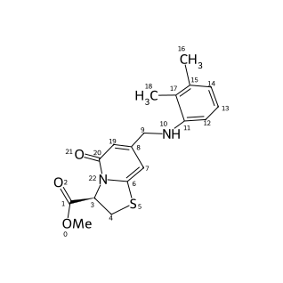 COC(=O)[C@@H]1CSc2cc(CNc3cccc(C)c3C)cc(=O)n21